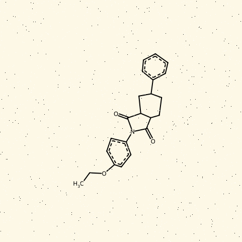 CCOc1ccc(N2C(=O)C3CCC(c4ccccc4)CC3C2=O)cc1